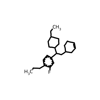 CCCc1ccc(C(CC2CC=CCC2)C2CCC(CC)CC2)cc1F